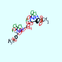 CS(=O)(=O)c1ccc([C@@H](OC(=O)OCC(O)COC(=O)O[C@H](c2ccc(S(C)(=O)=O)cc2)[C@@H](CF)NC(=O)C(Cl)Cl)[C@@H](CF)NC(=O)C(Cl)Cl)cc1